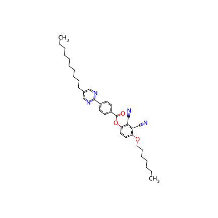 CCCCCCCCCCc1cnc(-c2ccc(C(=O)Oc3ccc(OCCCCCCC)c(C#N)c3C#N)cc2)nc1